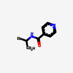 CCC(NC(=O)c1ccncc1)C(=O)O